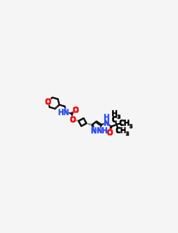 CC(C)(C)C(=O)Nc1cc([C@H]2C[C@@H](OC(=O)NCC3CCOCC3)C2)n[nH]1